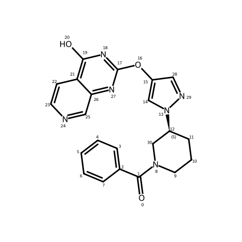 O=C(c1ccccc1)N1CCC[C@H](n2cc(Oc3nc(O)c4ccncc4n3)cn2)C1